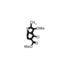 COC(=O)c1ccc2sc(C)c(OC)c2c1Cl